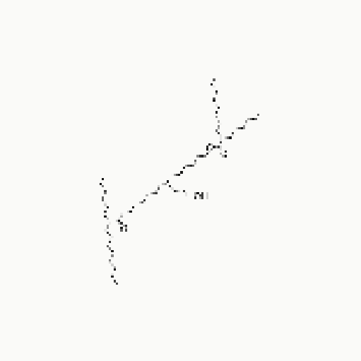 CCCCCCCCC(CCCCCC)C(=O)CCCCCCCN(CCCO)CCCCCCOC(=O)C(CCCCCC)CCCCCCCC